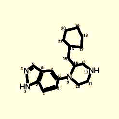 c1cc2[nH]ncc2cc1N1CCNCC1CC1CCCCC1